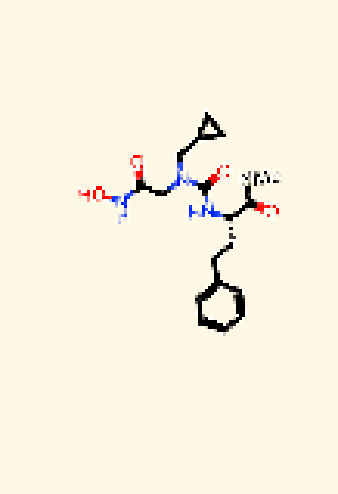 CNC(=O)[C@H](CCc1ccccc1)NC(=O)N(CC(=O)NO)CC1CC1